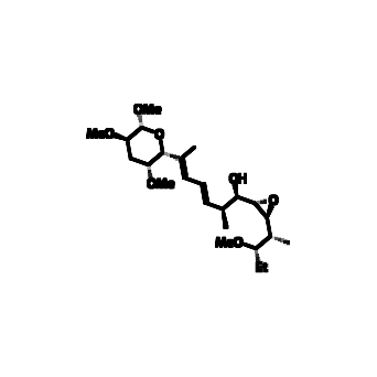 CC[C@H](OC)[C@@H](C)[C@@H]1O[C@H]1[C@H](O)[C@@H](C)/C=C/C=C(\C)[C@H]1O[C@@H](OC)[C@H](OC)C[C@H]1OC